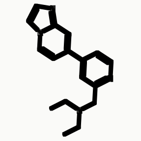 CCN(CC)Cc1cc(-c2ccn3ccnc3c2)ccn1